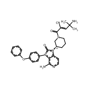 CC(C)(N)C=C(C#N)C(=O)N1CCC[C@@H](n2c(=O)n(-c3ccc(Oc4ccccc4)cc3)c3c(N)nccc32)C1